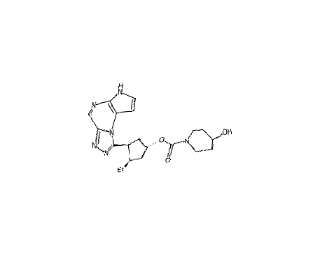 CC[C@@H]1C[C@@H](OC(=O)N2CCC(O)CC2)C[C@@H]1c1nnc2cnc3[nH]ccc3n12